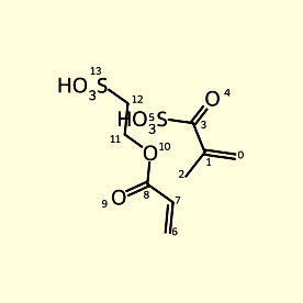 C=C(C)C(=O)S(=O)(=O)O.C=CC(=O)OCCS(=O)(=O)O